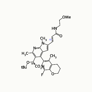 COCCNC(=O)/C=C/c1cc2c(-c3cc(F)c4c(c3C)CCCO4)c([C@H](OC(C)(C)C)C(=O)O)c(C)nc2n1C